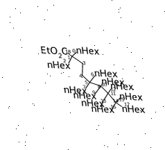 CCCCCCC(CCCCCC)(CCC(CCCCCC)(CCCCCC)C(CCCCCC)(CCCCCC)C(CCCCCC)(CCCCCC)C(CCCCCC)(CCCCCC)CCCCCC)C(=O)OCC